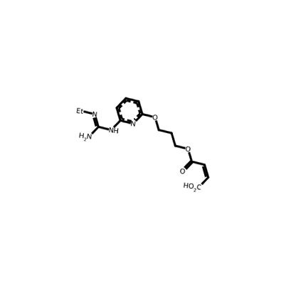 CCN=C(N)Nc1cccc(OCCCOC(=O)/C=C\C(=O)O)n1